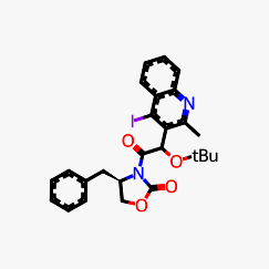 Cc1nc2ccccc2c(I)c1C(OC(C)(C)C)C(=O)N1C(=O)OC[C@H]1Cc1ccccc1